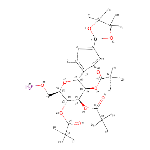 Cc1cc(B2OC(C)(C)C(C)(C)O2)ccc1[C@H]1O[C@H](COP)[C@@H](OC(=O)C(C)(C)C)[C@H](OC(=O)C(C)(C)C)[C@@H]1OC(=O)C(C)(C)C